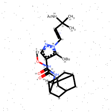 CCONC(=O)[C@]12CC3CC(C1)[C@@H](NC(=O)c1cnn(/C=C/C(C)(C)NC(C)=O)c1OCC(C)C)C(C3)C2